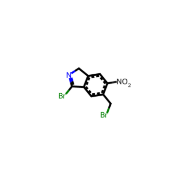 O=[N+]([O-])c1cc2c(cc1CBr)C(Br)=NC2